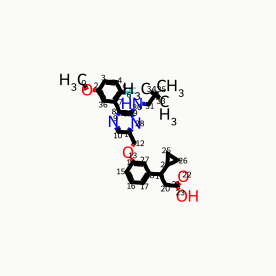 COc1ccc(F)c(-c2ncc(COc3cccc(C(CC(=O)O)C4CC4)c3)nc2NCC(C)(C)C)c1